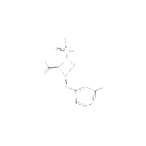 CS(=O)(=O)N1CC(Nc2ccnc(Cl)n2)C1C(=O)O